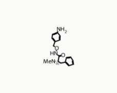 CN[C@@H](Cc1ccccc1)C(=O)NOCc1ccc(N)cc1